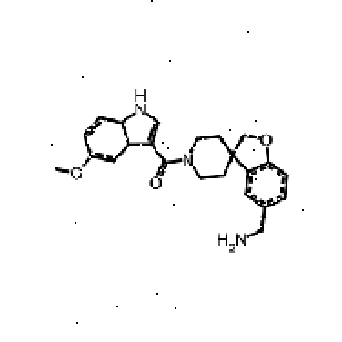 COC1=CC2C(C(=O)N3CCC4(CC3)COc3ccc(CN)cc34)=CNC2C=C1